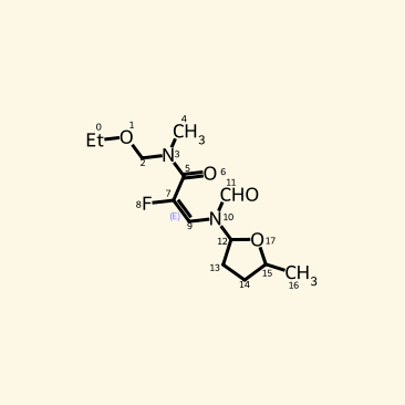 CCOCN(C)C(=O)/C(F)=C\N(C=O)C1CCC(C)O1